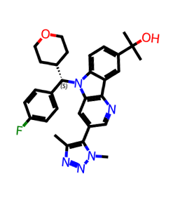 Cc1nnn(C)c1-c1cnc2c3cc(C(C)(C)O)ccc3n([C@H](c3ccc(F)cc3)C3CCOCC3)c2c1